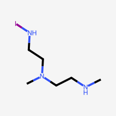 CNCCN(C)CCNI